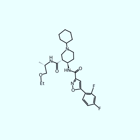 CCOC[C@H](C)NC(=O)[C@@H]1CN(C2CCCCC2)CC[C@H]1NC(=O)c1cc(-c2ccc(F)cc2F)on1